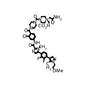 COCCn1ncc(-c2ccc(-c3cnc(C(=O)Nc4ccc(C(=O)N5CCN(C(=O)N6CC[N+](CC(N)=O)(CC(=O)O)CC6)CC5)c(Cl)c4)n3C)c(F)c2F)c1C